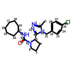 Cc1nnc([C@H]2CCCN2C(=O)NC2CCCCCC2)n1Cc1ccc(Cl)cc1